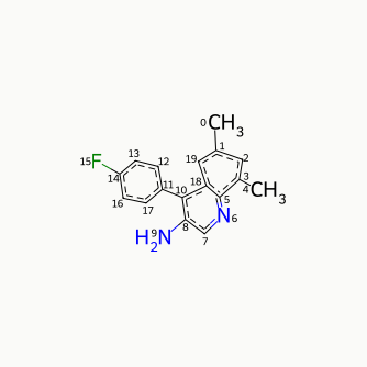 Cc1cc(C)c2ncc(N)c(-c3ccc(F)cc3)c2c1